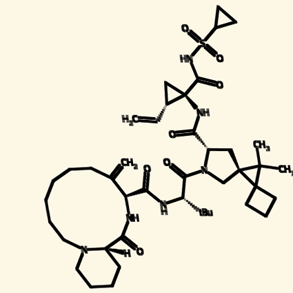 C=C[C@@H]1C[C@]1(NC(=O)[C@@H]1C[C@@]2(CN1C(=O)[C@@H](NC(=O)[C@H]1NC(=O)[C@@H]3CCCCN3CCCCCCC1=C)C(C)(C)C)C(C)(C)C21CCC1)C(=O)NS(=O)(=O)C1CC1